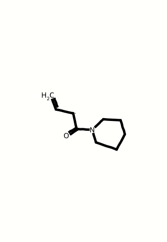 C=C[CH]C(=O)N1CCCCC1